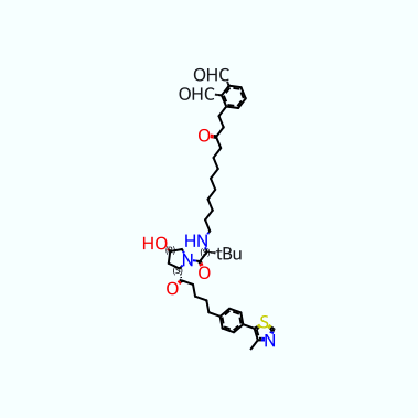 Cc1ncsc1-c1ccc(CCCCC(=O)[C@@H]2C[C@@H](O)CN2C(=O)[C@@H](NCCCCCCCCCC(=O)CCc2cccc(C=O)c2C=O)C(C)(C)C)cc1